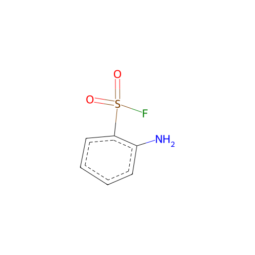 Nc1ccccc1S(=O)(=O)F